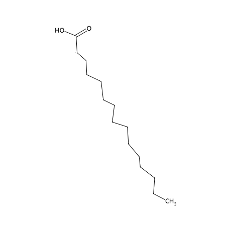 CCCCCCCCCCCCC[CH]C(=O)O